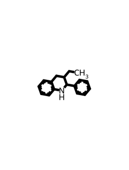 CCC1Cc2ccccc2NC1c1ccccc1